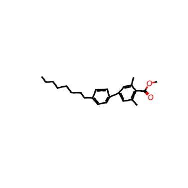 CCCCCCCCc1ccc(-c2cc(C)c(C(=O)OC)c(C)c2)cc1